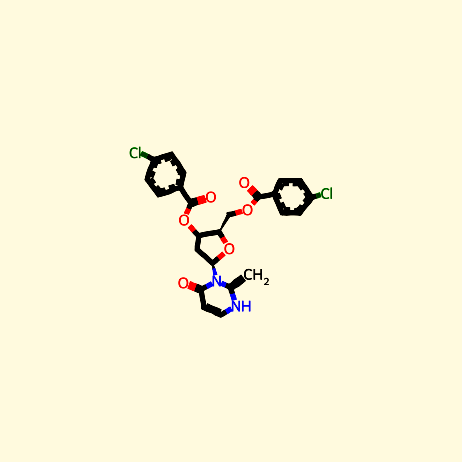 C=C1NC=CC(=O)N1[C@H]1CC(OC(=O)c2ccc(Cl)cc2)[C@@H](COC(=O)c2ccc(Cl)cc2)O1